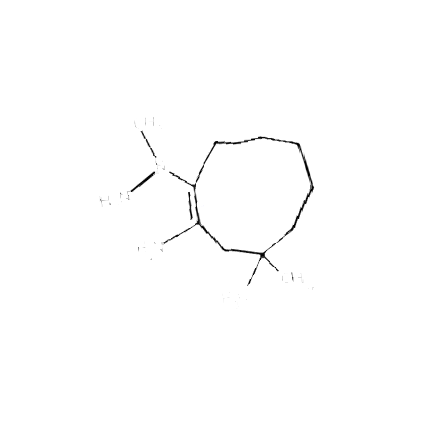 CN(N)/C1=C(\N)CC(C)(C)CCCCC1